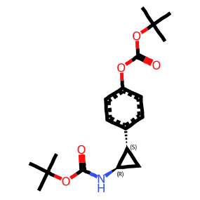 CC(C)(C)OC(=O)N[C@@H]1C[C@H]1c1ccc(OC(=O)OC(C)(C)C)cc1